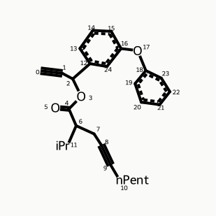 C#CC(OC(=O)C(CC#CCCCCC)C(C)C)c1cccc(Oc2ccccc2)c1